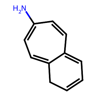 NC1=CC=C2CC=CC=C2C=C1